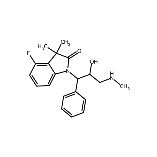 CNCC(O)C(c1ccccc1)N1C(=O)C(C)(C)c2c(F)cccc21